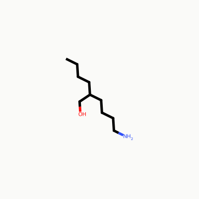 CCCCC(CO)CCCCN